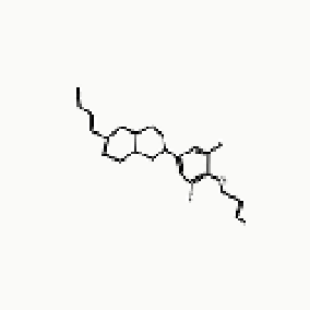 CC=CCOc1c(F)cc(C2CCC3CC(C=CCC)CCC3C2)cc1F